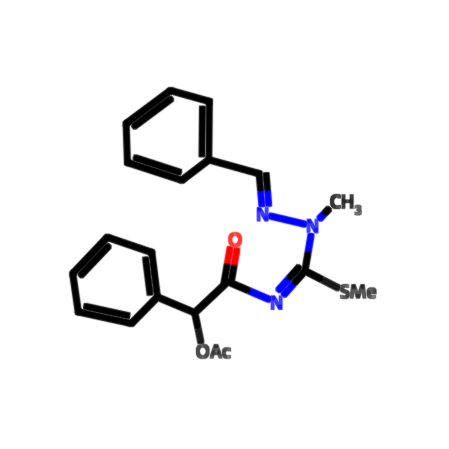 CSC(=NC(=O)C(OC(C)=O)c1ccccc1)N(C)N=Cc1ccccc1